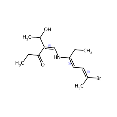 CCC(=O)/C(=C\N/C(=C/C=C(\C)Br)CC)C(C)O